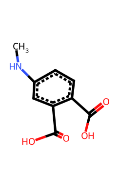 CNc1ccc(C(=O)O)c(C(=O)O)c1